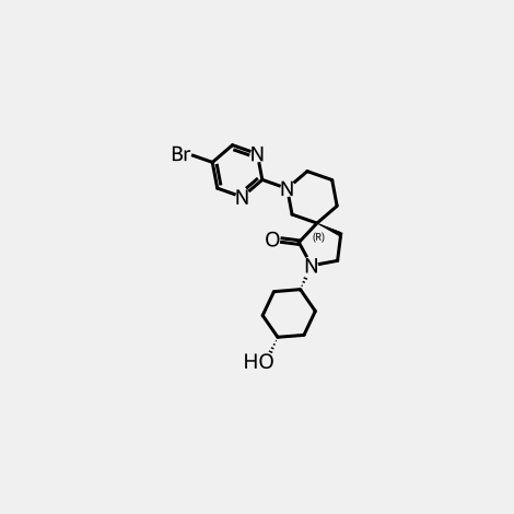 O=C1N([C@H]2CC[C@@H](O)CC2)CC[C@@]12CCCN(c1ncc(Br)cn1)C2